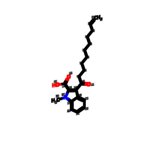 C=CCCCCCCCCC(=O)c1c(C(=O)O)n(C)c2ccccc12